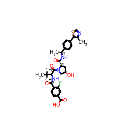 Cc1ncsc1-c1ccc([C@H](C)NC(=O)[C@@H]2C[C@@H](O)CN2C(=O)C(NC(=O)c2ccc(C(=O)O)cc2F)C(C)(C)C)cc1